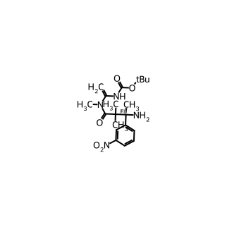 C=C(NC(=O)OC(C)(C)C)N(C)C(=O)C(C)(C)[C@](C)(N)c1cccc([N+](=O)[O-])c1